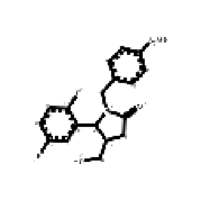 COc1ccc(CN2C(=O)CC(CO)C2c2cc(F)ccc2Cl)cc1